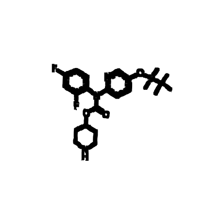 CC(C)(C)[Si](C)(C)Oc1ccc(N(C(=O)OC2CCNCC2)c2ccc(F)cc2F)nc1